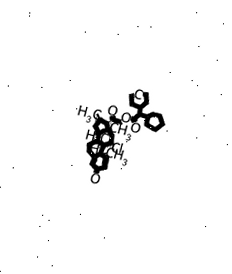 C[C@@H]1C[C@H]2[C@@H]3CCC4=CC(=O)C=C[C@]4(C)[C@@]3(Cl)[C@@H](Cl)C[C@]2(C)[C@H]1C(=O)COC(=O)C(C1CCCCC1)C1CCCCC1